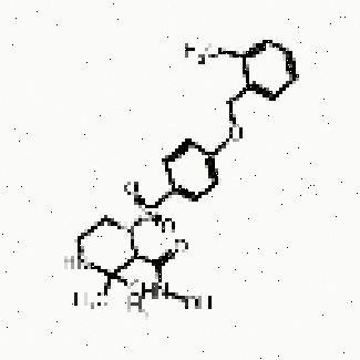 Cc1ccccc1COc1ccc(S(=O)(=O)N2CCNC(C)(C)C2C(=O)NO)cc1